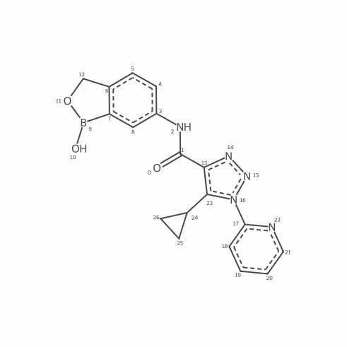 O=C(Nc1ccc2c(c1)B(O)OC2)c1nnn(-c2ccccn2)c1C1CC1